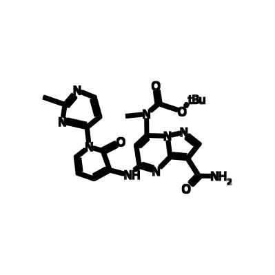 Cc1nccc(-n2cccc(Nc3cc(N(C)C(=O)OC(C)(C)C)n4ncc(C(N)=O)c4n3)c2=O)n1